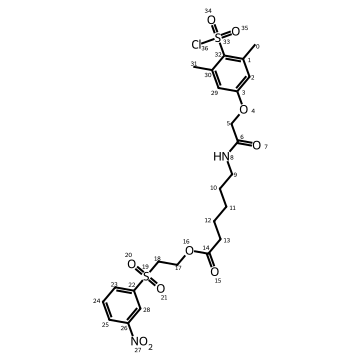 Cc1cc(OCC(=O)NCCCCCC(=O)OCCS(=O)(=O)c2cccc([N+](=O)[O-])c2)cc(C)c1S(=O)(=O)Cl